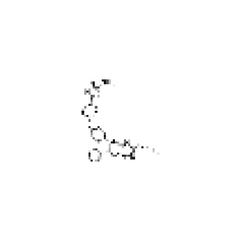 CSc1ncc2cc(-c3ccccc3)c(-c3ccc(CN4CCC(c5nnc(N)s5)CC4)cc3)nc2n1